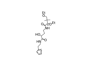 CCOCC(C)(C)[C@@H](OCC)C(=O)NCCC(O)C(=O)NCCc1cccs1